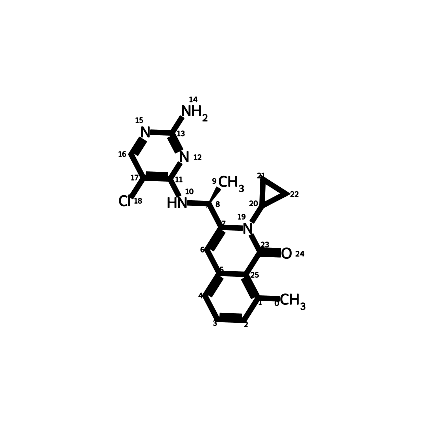 Cc1cccc2cc([C@H](C)Nc3nc(N)ncc3Cl)n(C3CC3)c(=O)c12